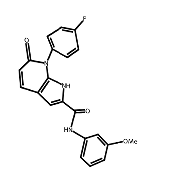 COc1cccc(NC(=O)c2cc3ccc(=O)n(-c4ccc(F)cc4)c3[nH]2)c1